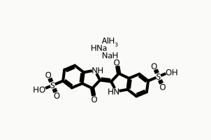 O=C1/C(=C2\Nc3ccc(S(=O)(=O)O)cc3C2=O)Nc2ccc(S(=O)(=O)O)cc21.[AlH3].[NaH].[NaH]